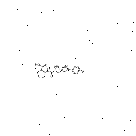 NC(Cc1cnn(-c2ccc(F)cn2)c1)C(=O)NC1=C(C(=O)O)CCCC1